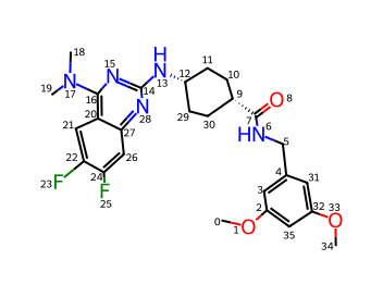 COc1cc(CNC(=O)[C@H]2CC[C@@H](Nc3nc(N(C)C)c4cc(F)c(F)cc4n3)CC2)cc(OC)c1